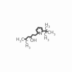 CC(C)C[C@H](O)CCc1cccc(C(C)(C)C)n1